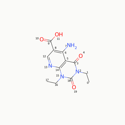 CCn1c(=O)c2c(N)c(C(=O)O)cnc2n(CC)c1=O